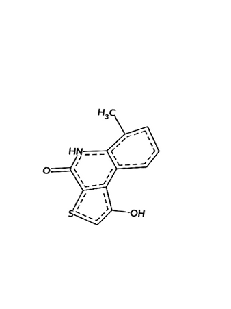 Cc1cccc2c1[nH]c(=O)c1scc(O)c12